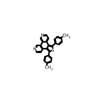 Cc1ccc(-c2sc(-c3ccc(C)cc3)c3c4ccncc4c4cnccc4c23)cc1